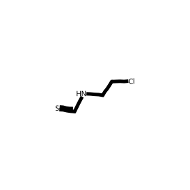 S=CNCCCl